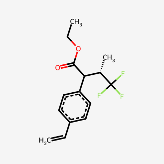 C=Cc1ccc(C(C(=O)OCC)[C@H](C)C(F)(F)F)cc1